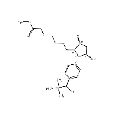 COC(=O)CCCCCC[C@@H]1[C@@H](c2ccc(C(O)C(C)(C)C)cc2)[C@H](O)C[C@@H]1Cl